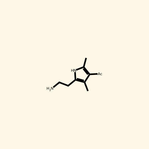 CC(=O)c1c(C)[nH]c(CCN)c1C